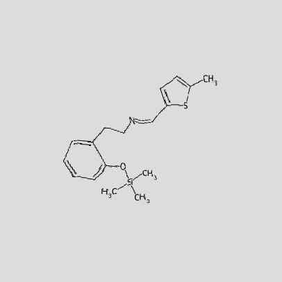 Cc1ccc(C=NCCc2ccccc2O[Si](C)(C)C)s1